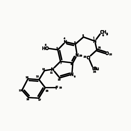 CN(Cc1nc(O)c2c(ncn2Cc2ccccc2F)n1)C(=O)OC(C)(C)C